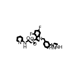 O=C(CS(=O)(=O)c1cn(Cc2cccc(N3C=CNN3)c2)c2cc(F)cc(F)c12)Nc1ccccn1